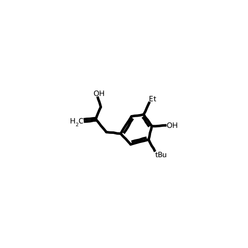 C=C(CO)Cc1cc(CC)c(O)c(C(C)(C)C)c1